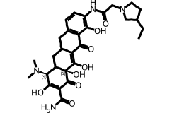 CCC1CCN(CC(=O)Nc2ccc3c(c2O)C(=O)C2=C(O)[C@]4(O)C(=O)C(C(N)=O)=C(O)[C@@H](N(C)C)C4CC2C3)C1